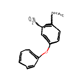 CC(=O)Nc1ccc(Oc2ccccc2)cc1[N+](=O)[O-]